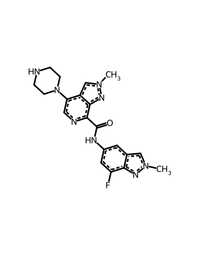 Cn1cc2cc(NC(=O)c3ncc(N4CCNCC4)c4cn(C)nc34)cc(F)c2n1